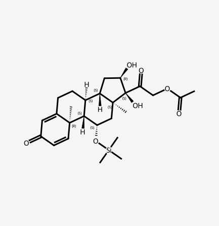 CC(=O)OCC(=O)[C@@]1(O)[C@H](O)C[C@H]2[C@@H]3CCC4=CC(=O)C=C[C@]4(C)[C@H]3[C@@H](O[Si](C)(C)C)C[C@@]21C